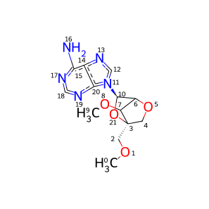 COC[C@@]12COC(C1OC)[C@H](n1cnc3c(N)ncnc31)O2